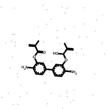 C=C(C)C(=O)Oc1cc(-c2ccc(N)c(OC(O)C(=C)C)c2)ccc1N